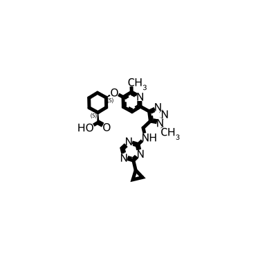 Cc1nc(-c2nnn(C)c2CNc2ncnc(C3CC3)n2)ccc1O[C@H]1CCC[C@H](C(=O)O)C1